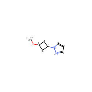 FC(F)(F)OC1CC(n2c[c]cn2)C1